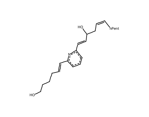 CCCCC/C=C\CC(O)/C=C/c1cccc(/C=C/CCCCO)n1